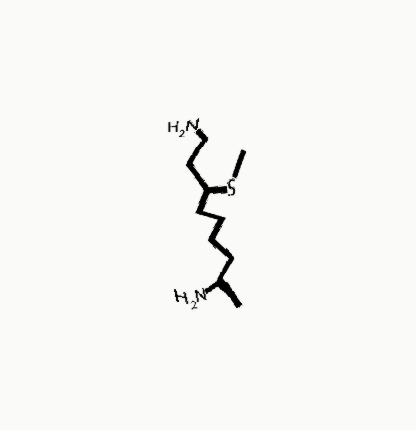 C=C(N)CCCCC(CCN)SC